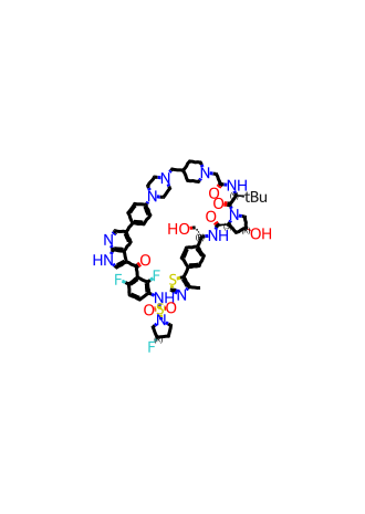 Cc1ncsc1-c1ccc([C@H](CO)NC(=O)[C@@H]2C[C@@H](O)CN2C(=O)[C@@H](NC(=O)CN2CCC(CN3CCN(c4ccc(-c5cnc6[nH]cc(C(=O)c7c(F)ccc(NS(=O)(=O)N8CC[C@@H](F)C8)c7F)c6c5)cc4)CC3)CC2)C(C)(C)C)cc1